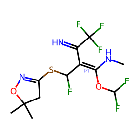 CN/C(OC(F)F)=C(\C(=N)C(F)(F)F)C(F)SC1=NOC(C)(C)C1